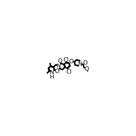 COCC(=O)N1CCC(Oc2cc(Cl)c3c(c2Cl)C(=O)N(Cc2c(C)cc(C)[nH]c2=O)CC3)CC1